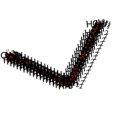 Cl.Cl.N=C(N)[S-].N=C(N)[S-].N=C(N)[S-].N=C(N)[S-].N=C(N)[S-].N=C(N)[S-].N=C(N)[S-].N=C(N)[S-].N=C(N)[S-].N=C(N)[S-].N=C(N)[S-].N=C(N)[S-].N=C(N)[S-].N=C(N)[S-].N=C(N)[S-].N=C(N)[S-].N=C(N)[S-].N=C(N)[S-].N=C(N)[S-].N=C(N)[S-].N=C(N)[S-].N=C(N)[S-].N=C(N)[S-].N=C(N)[S-].N=C(N)[S-].N=C(N)[S-].N=C(N)[S-].N=C(N)[S-].N=C(N)[S-].N=C(N)[S-].N=C(N)[S-].N=C(N)[S-].N=C(N)[S-].[N+3].[N+3].[N+3].[N+3].[N+3].[N+3].[N+3].[N+3].[N+3].[N+3].[N+3]